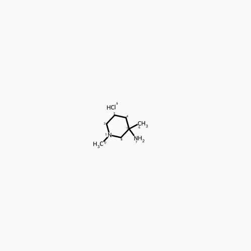 CN1CCCC(C)(N)C1.Cl